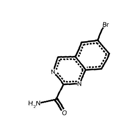 NC(=O)c1ncc2cc(Br)ccc2n1